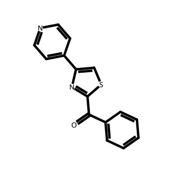 O=C(c1ccccc1)c1nc(-c2ccncc2)cs1